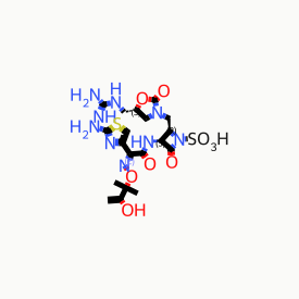 C=C(O)C(C)(C)O/N=C(\C(=O)N[C@@H]1C(=O)N(S(=O)(=O)O)[C@@H]1CN1C[C@H](CNC(=N)N)OC1=O)c1csc(N)n1